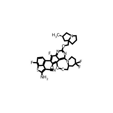 C[C@H]1CN2CCCC2(COc2nc3c4c(c(Cl)c(-c5ccc(F)c6sc(N)c(C#N)c56)c(F)c4n2)OCCC2CC(F)(F)CCN32)C1